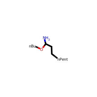 CCCCCCCC(N)OCCCC